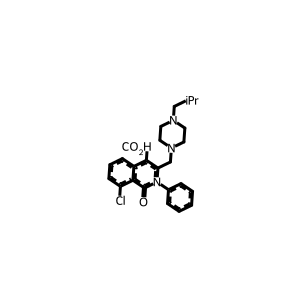 CC(C)CN1CCN(Cc2c(C(=O)O)c3cccc(Cl)c3c(=O)n2-c2ccccc2)CC1